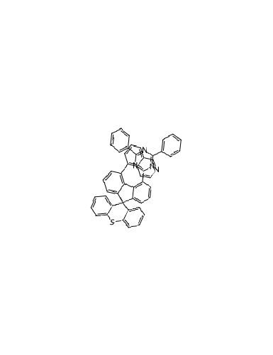 c1ccc(-c2nc(-c3ccccc3)nc(-c3cccc4c3-c3c(-c5cccc6cnccc56)cccc3C43c4ccccc4Sc4ccccc43)n2)cc1